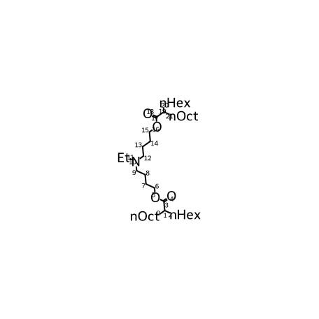 CCCCCCCCC(CCCCCC)C(=O)OCCCCN(CC)CCCCOC(=O)C(CCCCCC)CCCCCCCC